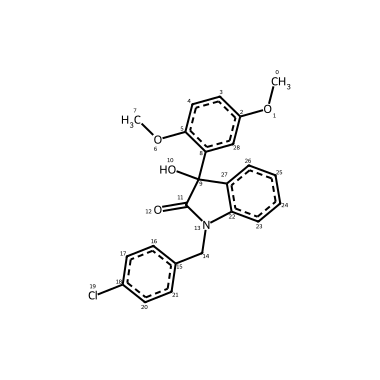 COc1ccc(OC)c(C2(O)C(=O)N(Cc3ccc(Cl)cc3)c3ccccc32)c1